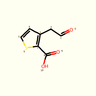 O=[C]Cc1ccsc1C(=O)O